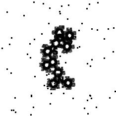 CC12C=Cc3c(sc4c(-c5ccc(C6=CC=C7C(C6)C6=C(C=CCC6)N7c6ccccc6)c6ccccc56)cccc34)C1c1ccccc1C2(c1ccccc1)C1C=CC=CC1